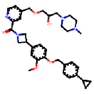 COc1cc(C2CN(C(=O)c3cc(COCC(O)CN4CCN(C)CC4)ccn3)C2)ccc1OCc1ccc(C2CC2)cc1